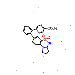 O=C(O)c1ccc(-c2ccccc2-c2ccc3c(c2)S(=O)(=O)NC2CCCN32)cc1